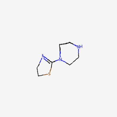 C1CSC(N2CCNCC2)=N1